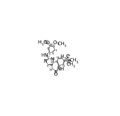 COc1ccc(Nc2ncc3c(n2)-c2ccc([Si](C)(C)C)cc2NC(=O)C3)cc1OC